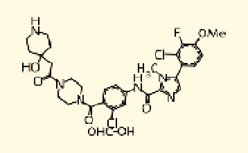 COc1ccc(-c2cnc(C(=O)Nc3ccc(C(=O)N4CCN(C(=O)CC5(O)CCNCC5)CC4)c(Cl)c3)n2C)c(Cl)c1F.O=CO